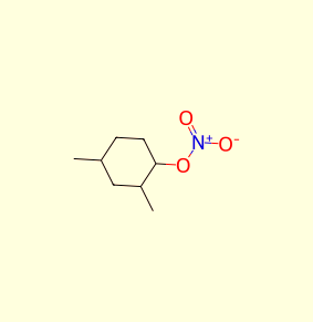 CC1CCC(O[N+](=O)[O-])C(C)C1